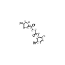 Cc1ccc(Br)cc1CC(=O)CCC(=O)c1ccc(F)cc1